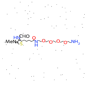 CN[C@H]1CSC(CCCCC(=O)NCCOCCOCCOCCOCCN)[C@H]1NC=O